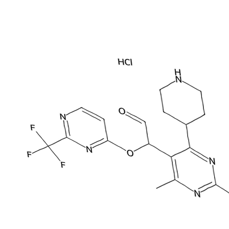 CSc1nc(C)c(C(C=O)Oc2ccnc(C(F)(F)F)n2)c(C2CCNCC2)n1.Cl